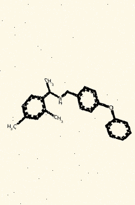 Cc1ccc(C(C)NCc2ccc(Oc3ccccc3)cc2)c(C)c1